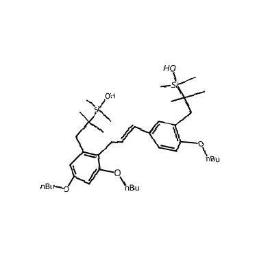 CCCCOc1cc(CC(C)(C)[Si](C)(C)O)c(C/C=C/c2ccc(OCCCC)c(CC(C)(C)[Si](C)(C)O)c2)c(OCCCC)c1